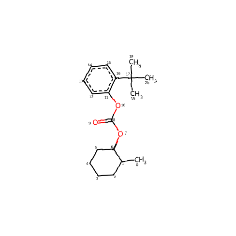 CC1CCCCC1OC(=O)Oc1ccccc1C(C)(C)C